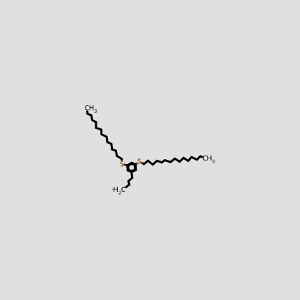 [CH2]CCCc1cc(SCCCCCCCCCCCCCCC)cc(SCCCCCCCCCCCCCCC)c1